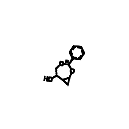 OC1CO[C@@H](c2ccccc2)OC2CC12